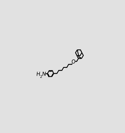 Nc1ccc(CCCCCCCOCC2C3CC4CC(C3)CC2C4)cc1